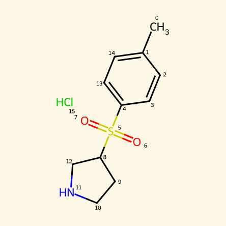 Cc1ccc(S(=O)(=O)C2CCNC2)cc1.Cl